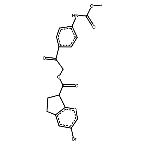 COC(=O)Nc1ccc(C(=O)COC(=O)C2CCc3cc(Br)cnc32)cc1